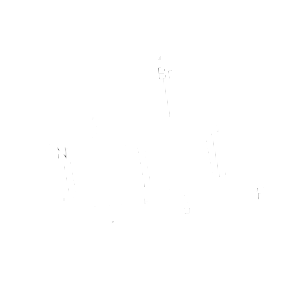 Fc1cc(Br)c2cnccc2c1